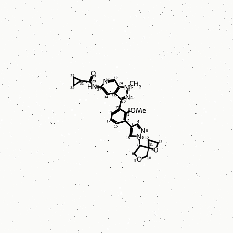 COc1c(-c2cnn([C@@H]3COC[C@]34CCO4)c2)cccc1-c1nn(C)c2cnc(NC(=O)C3CC3)cc12